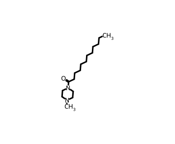 CCCCCCCCCCCC(=O)N1CCN(C)CC1